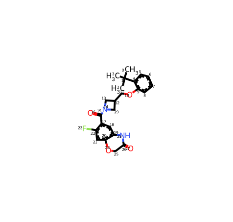 CC(C)(C)c1ccccc1OCC1CN(C(=O)c2cc3c(cc2F)OCC(=O)N3)C1